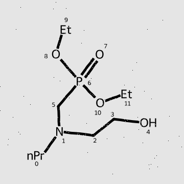 CCCN(CCO)CP(=O)(OCC)OCC